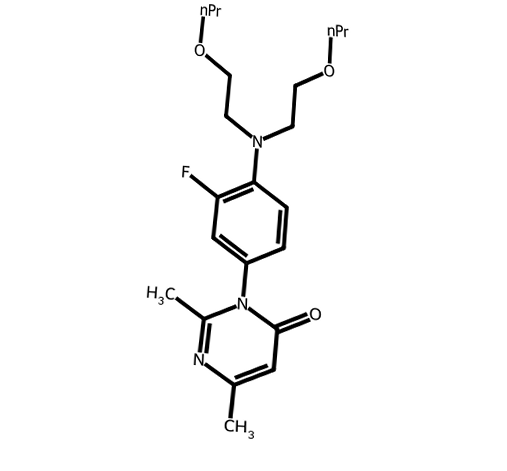 CCCOCCN(CCOCCC)c1ccc(-n2c(C)nc(C)cc2=O)cc1F